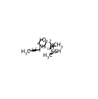 CC#CCN1CCO[C@H](CN(C)C[SH](C)S)C1